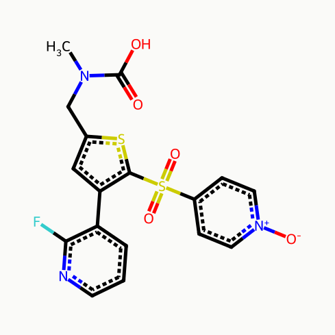 CN(Cc1cc(-c2cccnc2F)c(S(=O)(=O)c2cc[n+]([O-])cc2)s1)C(=O)O